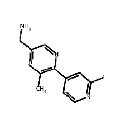 Cc1cc(CN)cnc1-c1ccnc(F)c1